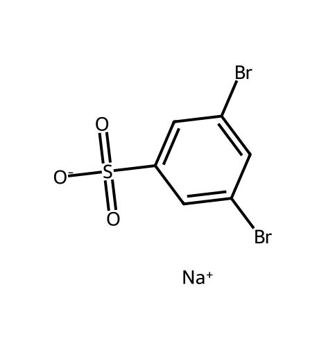 O=S(=O)([O-])c1cc(Br)cc(Br)c1.[Na+]